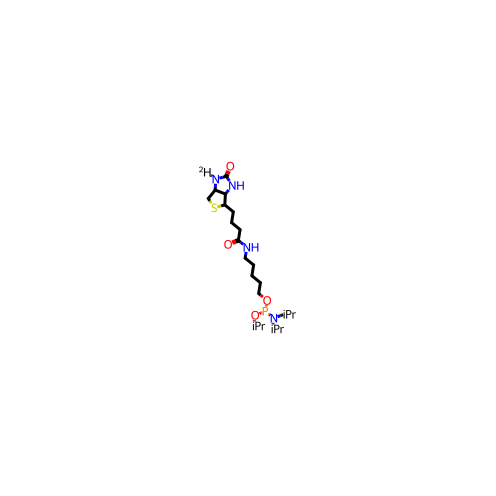 [2H]N1C(=O)NC2C(CCCC(=O)NCCCCCOP(OC(C)C)N(C(C)C)C(C)C)SCC21